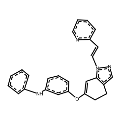 C(=Cn1ncc2c1C=C(Oc1cccc(Nc3ccccc3)c1)CC2)c1ccccn1